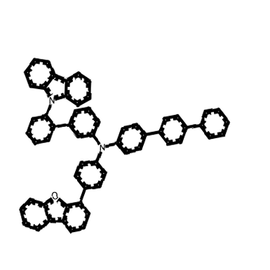 c1ccc(-c2ccc(-c3ccc(N(c4ccc(-c5cccc6c5oc5ccccc56)cc4)c4cccc(-c5ccccc5-n5c6ccccc6c6ccccc65)c4)cc3)cc2)cc1